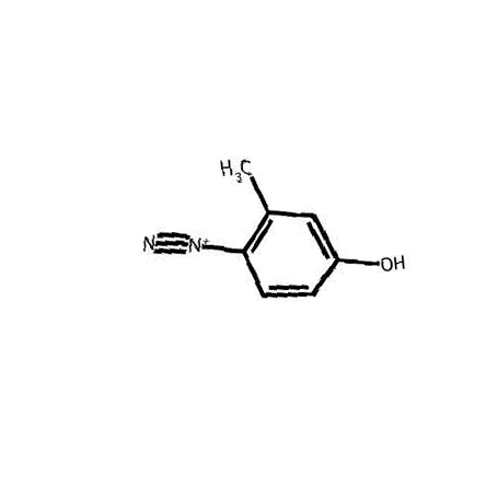 Cc1cc(O)ccc1[N+]#N